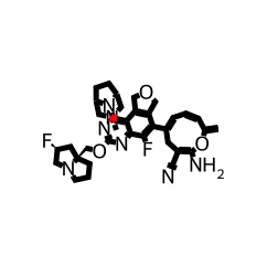 C=C1/C=C\C=C(\c2c3c(c4c(N5C6CCC5CN(C)C6)nc(OC[C@@]56CCCN5C[C@H](F)C6)nc4c2F)COC3)C/C(C#N)=C(/N)O1